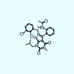 CC(=O)Nc1ccccc1-c1c2c(=O)n(C)c(=O)n(CC(C)C)c2nn1Cc1cccc(Cl)c1Cl